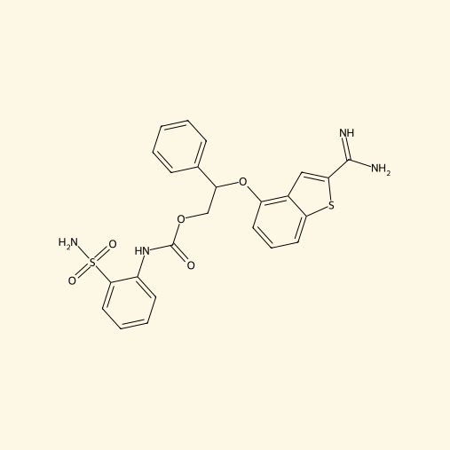 N=C(N)c1cc2c(OC(COC(=O)Nc3ccccc3S(N)(=O)=O)c3ccccc3)cccc2s1